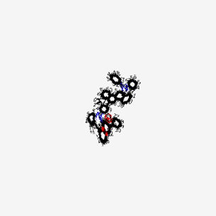 C[Si]1(C)c2cc(N(c3ccccc3-c3ccccc3)c3cccc4c3oc3ccccc34)ccc2-c2cc3c4ccccc4c(N(c4ccccc4)c4ccccc4)cc3c3cccc1c23